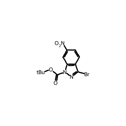 CC(C)(C)OC(=O)n1nc(Br)c2ccc([N+](=O)[O-])cc21